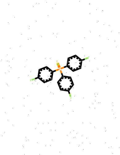 Fc1ccc(P(=S)(c2ccc(F)cc2)c2ccc(F)cc2)cc1